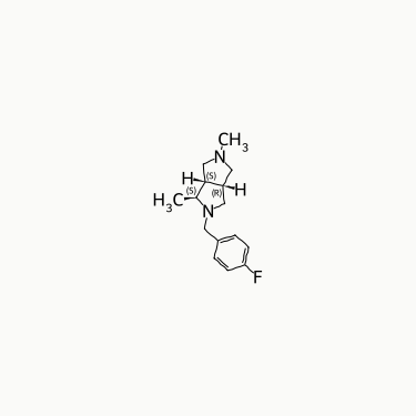 C[C@H]1[C@@H]2CN(C)C[C@@H]2CN1Cc1ccc(F)cc1